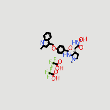 Cc1cc(COc2ccc(C(=O)NC3[C@@H](CC(=O)NO)CCN3C)cc2)c2ccccc2n1.O=C(O)C(F)(F)F.O=C(O)C(F)(F)F